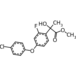 COC(=O)C(C)(O)c1ccc(Oc2ccc(Cl)cc2)cc1F